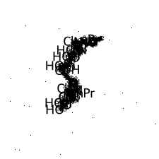 C#Cc1ccc(CN(CCC)c2nc(Cl)nc3c2ncn3[C@@H]2O[C@H](COP(=O)(O)CP(=O)(O)OCC#Cc3ccc(CN(CCC)c4nc(Cl)nc5c4ncn5[C@@H]4O[C@H](CO)[C@H](O)[C@@H]4O)cc3)[C@H](O)[C@@H]2O)cc1